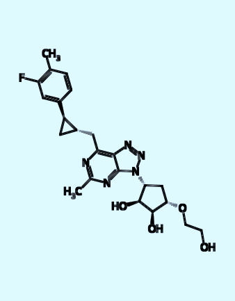 Cc1nc(C[C@@H]2C[C@H]2c2ccc(C)c(F)c2)c2nnn([C@@H]3C[C@H](OCCO)[C@@H](O)[C@H]3O)c2n1